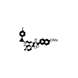 COc1ccc2cc(C(=O)N[C@@H](CCCN[C@@H]3C[C@H]3c3ccc(F)cc3)C(=O)N3CCN(C)CC3)ccc2c1